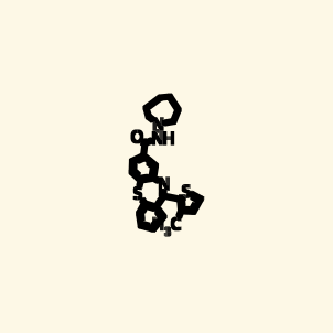 Cc1ccsc1C1=Nc2cc(C(=O)NN3CCCCCC3)ccc2Sc2ccccc21